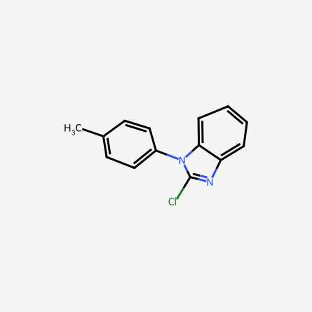 Cc1ccc(-n2c(Cl)nc3ccccc32)cc1